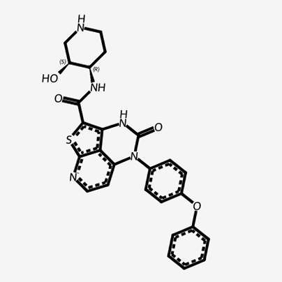 O=C(N[C@@H]1CCNC[C@@H]1O)c1sc2nccc3c2c1NC(=O)N3c1ccc(Oc2ccccc2)cc1